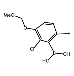 COCOc1ccc(F)c(B(O)O)c1Cl